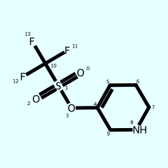 O=S(=O)(OC1=CCCNC1)C(F)(F)F